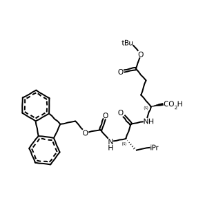 CC(C)C[C@H](NC(=O)OCC1c2ccccc2-c2ccccc21)C(=O)N[C@@H](CCC(=O)OC(C)(C)C)C(=O)O